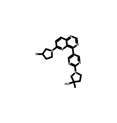 CC1(O)CCN(c2ncc(-c3ncnc4ccc(N5CCC(F)C5)nc34)cn2)C1